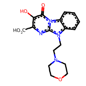 O=C(O)c1nc2n(CCN3CCOCC3)c3ccccc3n2c(=O)c1O